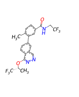 Cc1ccc(C(=O)NCC(F)(F)F)cc1-c1ccc2c(O[C@H](C)C(F)(F)F)nncc2c1